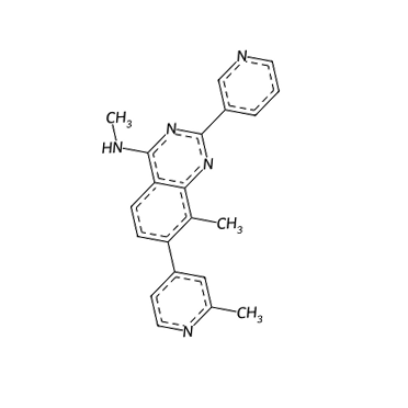 CNc1nc(-c2cccnc2)nc2c(C)c(-c3ccnc(C)c3)ccc12